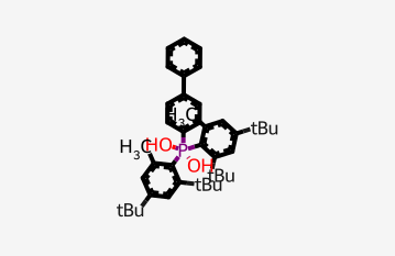 Cc1cc(C(C)(C)C)cc(C(C)(C)C)c1P(O)(O)(c1ccc(-c2ccccc2)cc1)c1c(C)cc(C(C)(C)C)cc1C(C)(C)C